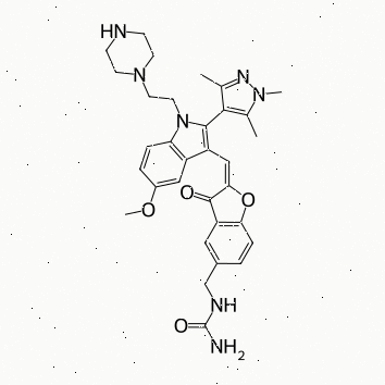 COc1ccc2c(c1)c(C=C1Oc3ccc(CNC(N)=O)cc3C1=O)c(-c1c(C)nn(C)c1C)n2CCN1CCNCC1